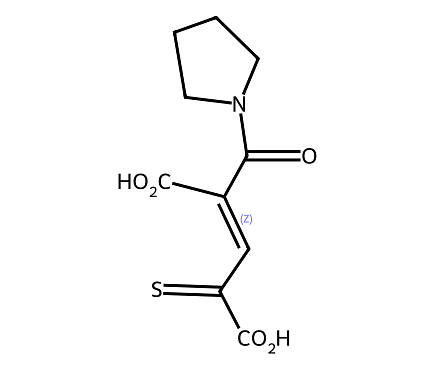 O=C(O)C(=S)/C=C(\C(=O)O)C(=O)N1CCCC1